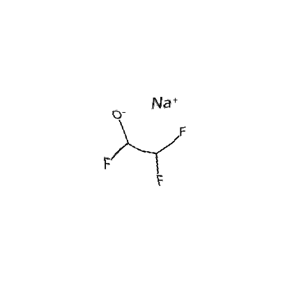 [Na+].[O-]C(F)C(F)F